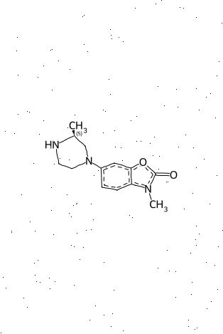 C[C@H]1CN(c2ccc3c(c2)oc(=O)n3C)CCN1